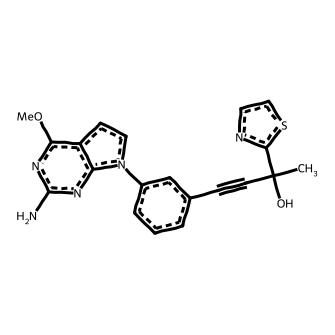 COc1nc(N)nc2c1ccn2-c1cccc(C#CC(C)(O)c2nccs2)c1